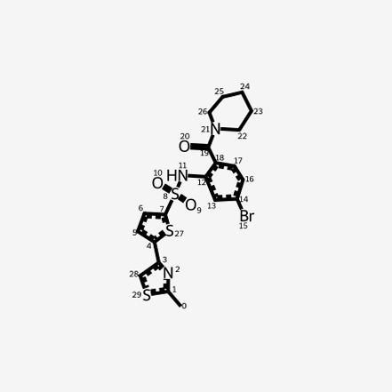 Cc1nc(-c2ccc(S(=O)(=O)Nc3cc(Br)ccc3C(=O)N3CCCCC3)s2)cs1